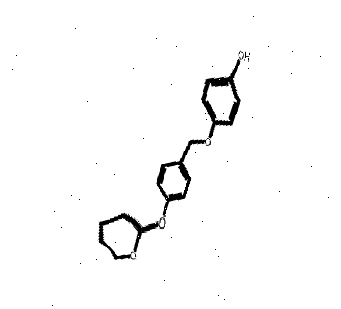 Oc1ccc(OCc2ccc(OC3CCCCO3)cc2)cc1